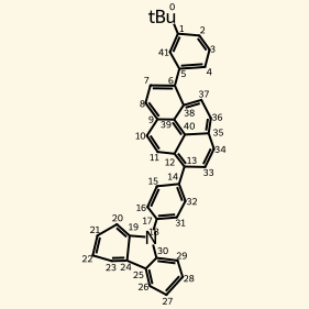 CC(C)(C)c1cccc(-c2ccc3ccc4c(-c5ccc(-n6c7ccccc7c7ccccc76)cc5)ccc5ccc2c3c54)c1